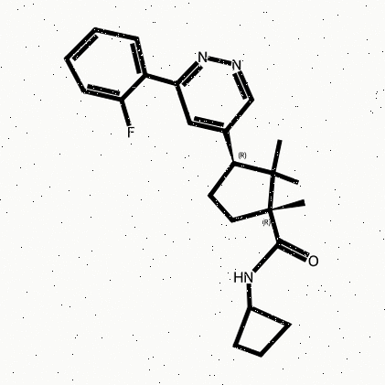 CC1(C)[C@H](c2cnnc(-c3ccccc3F)c2)CC[C@@]1(C)C(=O)NC1CCC1